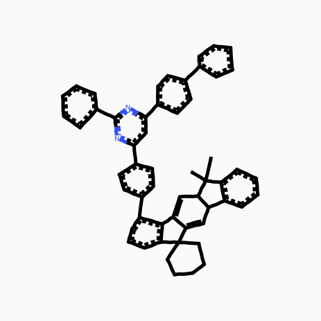 CC1(C)c2ccccc2C2C=C3C(=CC21)c1c(-c2ccc(-c4cc(-c5ccc(-c6ccccc6)cc5)nc(-c5ccccc5)n4)cc2)cccc1C31CCCCC1